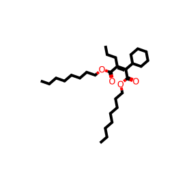 CCCCCCCCOC(=O)/C(CCC)=C(\C(=O)OCCCCCCCC)C1CCCCC1